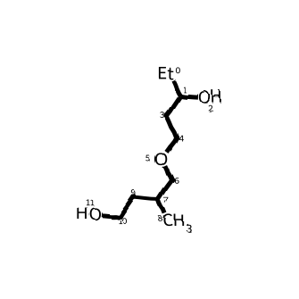 CCC(O)CCOCC(C)CCO